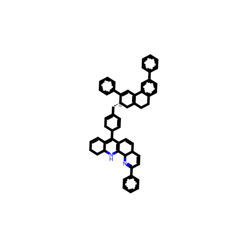 C1=CC2=C(C3C=CC(C[C@H]4CC5=C(C=C4c4ccccc4)c4cc(-c6ccccc6)ccc4CC5)=CC3)C3=C(NC2CC1)C1N=C(c2ccccc2)C=CC1C=C3